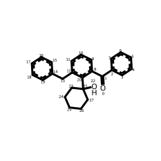 O=C(c1ccccc1)c1cccc(Cc2ccccc2)c1C1(O)CCCCC1